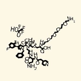 CC(C)(C)C(c1cc(-c2cc(F)ccc2F)cn1Cc1ccccc1)N(CCCNC(=O)C(CC(N)=O)NC(=O)Cc1ccncc1)C(=O)CSCC(NCCCOCCOCCOCCOCCN)C(=O)O.O=C(O)C(F)(F)F